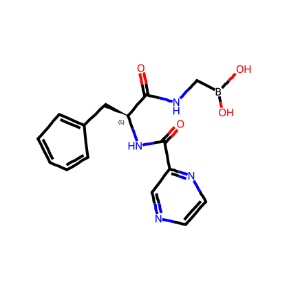 O=C(N[C@@H](Cc1ccccc1)C(=O)NCB(O)O)c1cnccn1